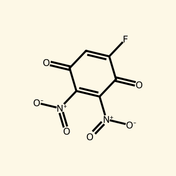 O=C1C=C(F)C(=O)C([N+](=O)[O-])=C1[N+](=O)[O-]